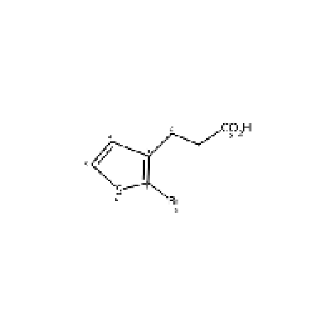 O=C(O)CCc1ccsc1Br